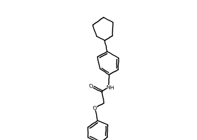 O=C(COc1ccccc1)Nc1ccc(C2CCCCC2)cc1